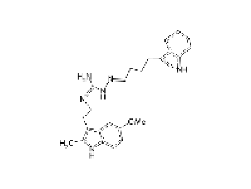 COc1ccc2[nH]c(C)c(CCN=C(N)NN=CCCCc3c[nH]c4ccccc34)c2c1